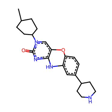 CC1CCC(n2cc3c(nc2=O)Nc2cc(C4CCNCC4)ccc2O3)CC1